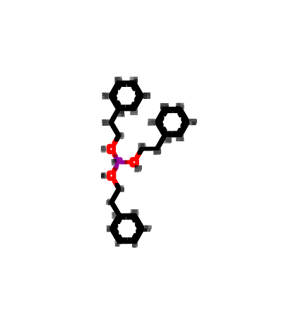 c1ccc(CCOP(OCCc2ccccc2)OCCc2ccccc2)cc1